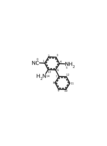 N#Cc1ccc(N)c(-c2ccccc2)c1N